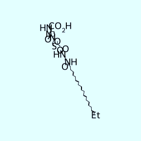 CCC=CCC=CCC=CCC=CCC=CCC=CCCC(=O)NCCNC(=O)OC[C@@H]1O[C@H](n2ccc(NC(=O)O)nc2=O)CS1